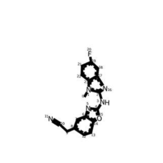 Cn1c(Nc2nc3cc(CC#N)ccc3o2)nc2cc(F)ccc21